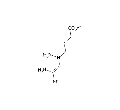 CCOC(=O)CCCN(N)/C=C(\N)CC